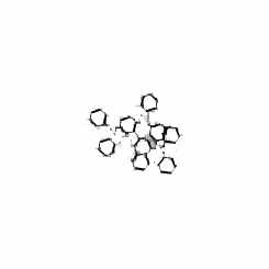 c1ccc(N(c2ccccc2)c2cc3c(oc4c(N(c5ccccc5)c5ccccc5)ccc(N(c5ccccc5)c5ccccc5)c43)c3ccccc23)cc1